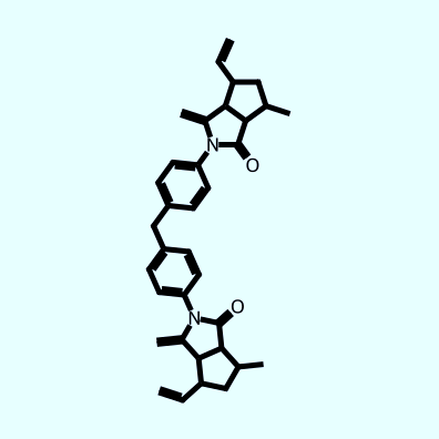 C=CC1CC(C)C2C(=O)N(c3ccc(Cc4ccc(N5C(=C)C6C(C=C)CC(C)C6C5=O)cc4)cc3)C(=C)C12